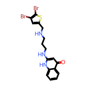 O=c1cc(NCCCNCc2cc(Br)c(Br)s2)[nH]c2ccccc12